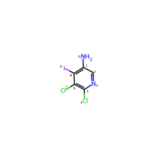 Nc1cnc(Cl)c(Cl)c1I